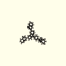 c1ccc2ncc(-c3ccc4c(c3)c3cc(-c5cnc6ccccc6c5)ccc3n4-c3ccc(-c4nc5ccccc5o4)cc3)cc2c1